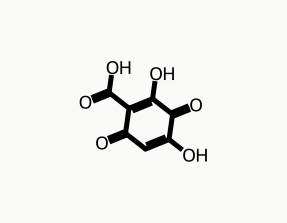 O=C(O)C1=C(O)C(=O)C(O)=CC1=O